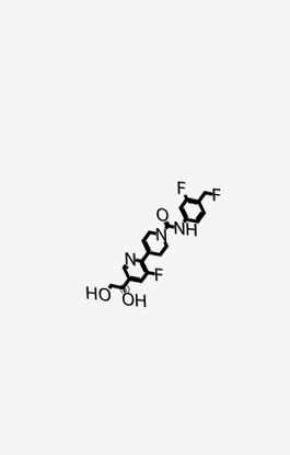 O=C(Nc1ccc(CF)c(F)c1)N1CC=C(c2ncc([C@H](O)CO)cc2F)CC1